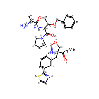 COC(=O)[C@@]1(Cc2cccc(-c3nccs3)c2)COC([C@@H]2CCCN2C(=O)[C@@H](NC(=O)[C@H](C)N)[C@@H](C)OCc2ccccc2)=N1